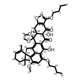 CCCCOc1noc2c1C(=O)[C@@]1(O)C(=O)c3c(c4c5c(c(OC)cc(OCCCC)c5c3O)[C@@]3(C4)C(C)=CCCC3(C)C)C(OC)(OC)[C@H]1C2